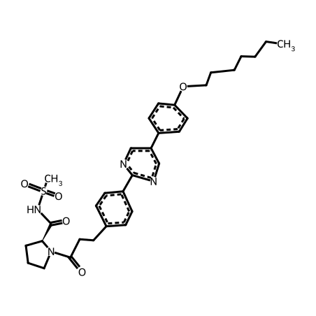 CCCCCCCOc1ccc(-c2cnc(-c3ccc(CCC(=O)N4CCC[C@H]4C(=O)NS(C)(=O)=O)cc3)nc2)cc1